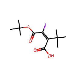 CC(C)(C)OC(=O)C(I)=C(C(=O)O)C(C)(C)C